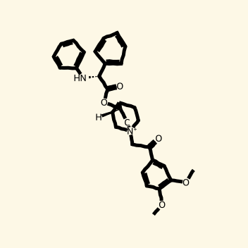 COc1ccc(C(=O)C[N+]23CCC(CC2)[C@@H](OC(=O)[C@H](Nc2ccccc2)c2ccccc2)C3)cc1OC